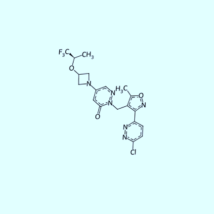 Cc1onc(-c2ccc(Cl)nn2)c1Cn1ncc(N2CC(O[C@H](C)C(F)(F)F)C2)cc1=O